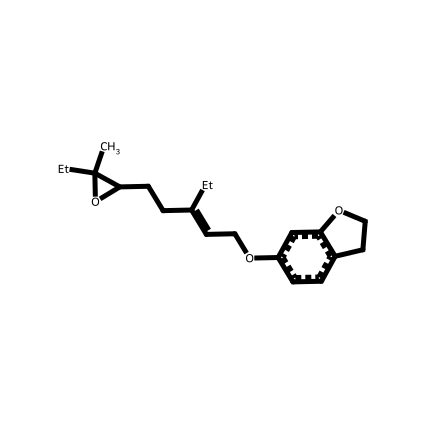 CC/C(=C\COc1ccc2c(c1)OCC2)CCC1OC1(C)CC